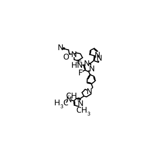 Cc1cc(N(C)C)cc(C2CCN(Cc3ccc(-c4nc(-c5cnn6ccccc56)nc(N[C@@H]5CCCN(C(=O)CC#N)C5)c4F)cc3)CC2)n1